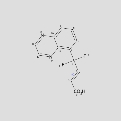 O=C(O)/C=C/C(F)(F)c1cccc2nccnc12